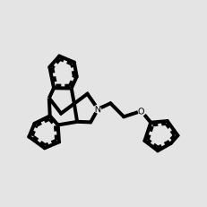 c1ccc(OCCN2CC3c4ccccc4C4CC3(C2)c2ccccc24)cc1